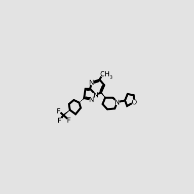 Cc1cc([C@@H]2CCCN(C3CCOC3)C2)n2nc([C@H]3CC[C@H](C(F)(F)F)CC3)cc2n1